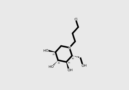 OC[C@@H]1[C@@H](O)[C@H](O)[C@@H](O)CN1CCCCl